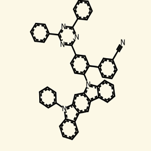 N#Cc1cccc(-c2cc(-c3nc(-c4ccccc4)nc(-c4ccccc4)n3)ccc2-n2c3ccccc3c3cc4c5ccccc5n(-c5ccccc5)c4cc32)c1